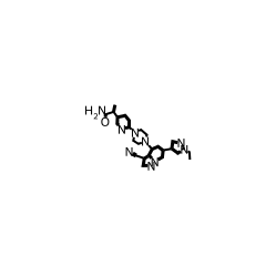 C=C(C(N)=O)c1ccc(N2CCN(c3cc(-c4cnn(CC)c4)cn4ncc(C#N)c34)CC2)nc1